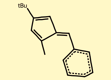 CC1=CC(C(C)(C)C)=C/C1=C/c1ccccc1